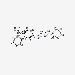 CCn1c2ccccc2c2cc(/C=C/C=C/c3ccccc3)ccc21